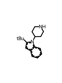 CC(C)(C)c1cc2ccccc2n1C1CCNCC1